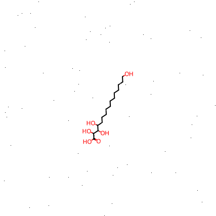 O=C(O)C(O)C(O)C(O)CCCCCCCCCCCCO